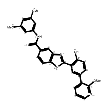 COc1cc(NC(=O)c2ccc3[nH]c(-c4cc(-c5cccnc5OC)ccc4O)nc3c2)cc(OC)c1